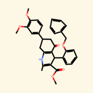 COC(=O)C1=C(C)NC2=C(C(=O)CC(c3ccc(OC)c(OC)c3)C2)C1c1ccccc1OCc1ccccc1